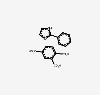 O=C(O)c1ccc(C(=O)O)c(C(=O)O)c1.c1ccc(-c2ncc[nH]2)cc1